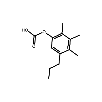 CCCc1cc(OC(=O)O)c(C)c(C)c1C